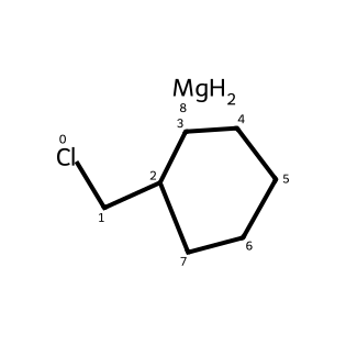 ClCC1CCCCC1.[MgH2]